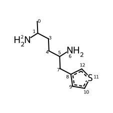 CC(N)CCC(N)Cc1ccsc1